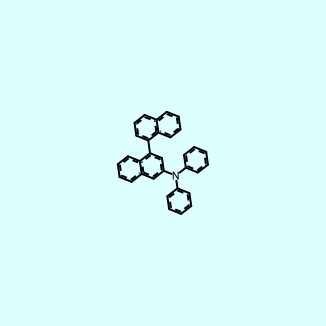 c1ccc(N(c2ccccc2)c2cc(-c3cccc4ccccc34)c3ccccc3c2)cc1